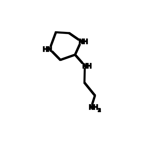 NCCNC1CNCCN1